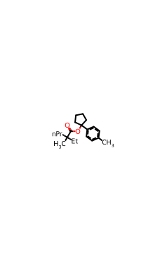 CCCC(C)(CC)C(=O)OC1(c2ccc(C)cc2)CCCC1